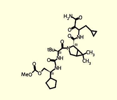 COC(=O)OC[C@@H](NC(=O)N[C@H](C(=O)N1CC2C([C@H]1C(=O)NC(CC1CC1)C(=O)C(N)=O)C2(C)C)C(C)(C)C)C1CCCC1